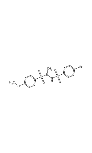 COc1ccc(S(=O)(=O)N(C)NS(=O)(=O)c2ccc(Br)cc2)cc1